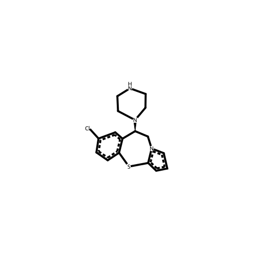 Clc1ccc2c(c1)[C@@H](N1CCNCC1)Cn1cccc1S2